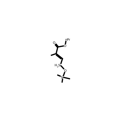 CCCOC(=O)C(C)=C[SiH2]O[Si](C)(C)C